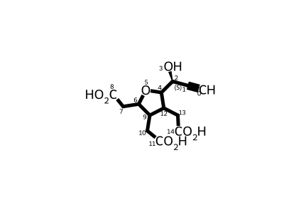 C#C[C@H](O)C1OC(CC(=O)O)C(CC(=O)O)C1CC(=O)O